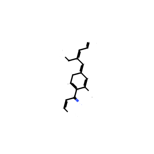 C=C/C=C(\C=C1\C=C(C)C(C(=N)/C=C\C)=CC1)CC